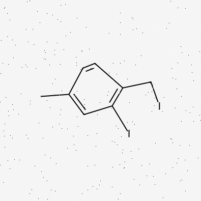 Cc1ccc(CI)c(I)c1